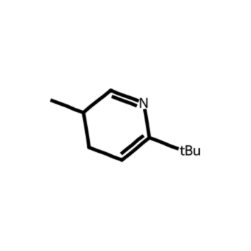 CC1C=NC(C(C)(C)C)=CC1